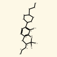 CCCC1CCC(c2ccc3c(c2F)OC(F)(F)C(CCC)C3)CC1